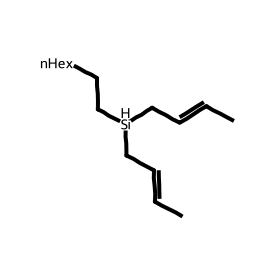 CC=CC[SiH](CC=CC)CCCCCCCC